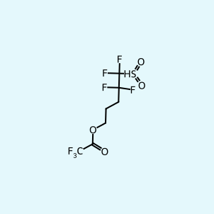 O=C(OCCCC(F)(F)C(F)(F)[SH](=O)=O)C(F)(F)F